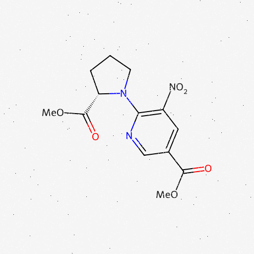 COC(=O)c1cnc(N2CCC[C@H]2C(=O)OC)c([N+](=O)[O-])c1